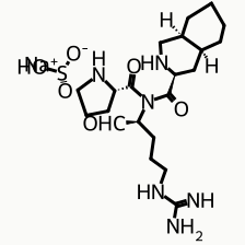 N=C(N)NCCC[C@@H](C=O)N(C(=O)[C@@H]1CCCN1)C(=O)[C@@H]1C[C@@H]2CCCC[C@@H]2CN1.O=S([O-])O.[Na+]